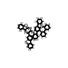 c1ccc2c(c1)-c1ccccc1-n1c3ccccc3c3cc4c(c-2c31)c1ccccc1n4-c1nc2oc3ccccc3c2nc1-c1ccc2c(c1)sc1ccccc12